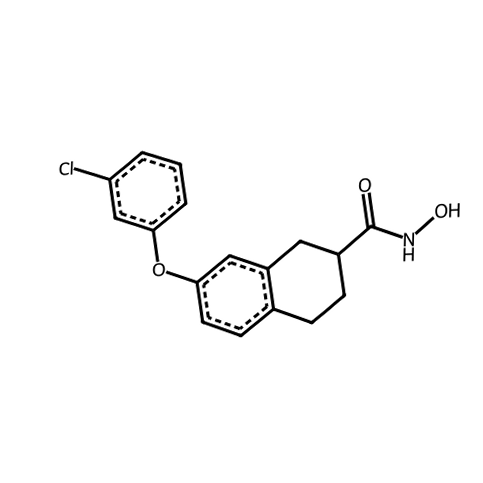 O=C(NO)C1CCc2ccc(Oc3cccc(Cl)c3)cc2C1